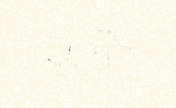 CC(C)(C)[Si](C)(C)O[C@@H]1[C@H](O)CO[C@H]1n1cnc2c(N)ncnc21